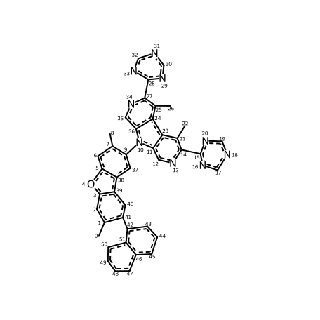 Cc1cc2oc3cc(C)c(-n4c5cnc(-c6ncncn6)c(C)c5c5c(C)c(-c6ncncn6)ncc54)cc3c2cc1-c1cccc2ccccc12